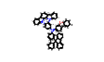 c1ccc2c(c1)-c1ccccc1C21c2ccccc2-c2ccc(N(c3ccc4c(c3)oc3ccccc34)c3ccc4c(c3)n3c5ccccc5c5ccc6c7ccccc7n4c6c53)cc21